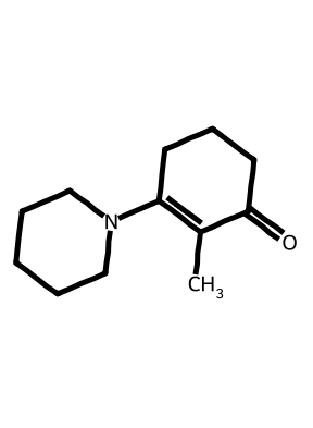 CC1=C(N2CCCCC2)CCCC1=O